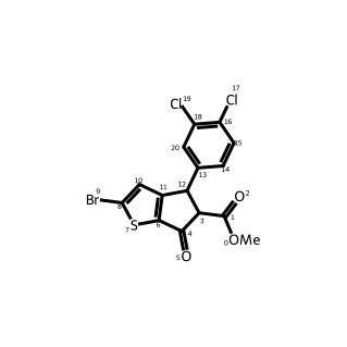 COC(=O)C1C(=O)c2sc(Br)cc2C1c1ccc(Cl)c(Cl)c1